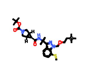 CSc1cccc2c(C(C)(C)NC(=O)[C@H]3[C@@H]4CN(C(=O)OC(C)(C)C)C[C@@H]43)nn(COCC[Si](C)(C)C)c12